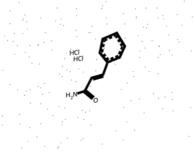 Cl.Cl.NC(=O)C=Cc1ccccc1